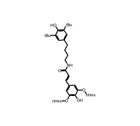 CCCCCCOc1cc(C=CC(=O)NCCCCc2cc(C(C)(C)C)c(O)c(C(C)(C)C)c2)cc(OCCCCCC)c1O